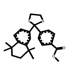 COC(=O)c1ccc(C2(c3ccc4c(c3)C(C)(C)CCC4(C)C)SCCS2)cc1